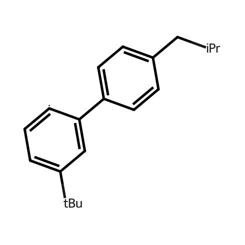 CC(C)Cc1ccc(-c2[c]ccc(C(C)(C)C)c2)cc1